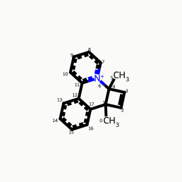 CC12C=CC1(C)[n+]1ccccc1-c1ccccc12